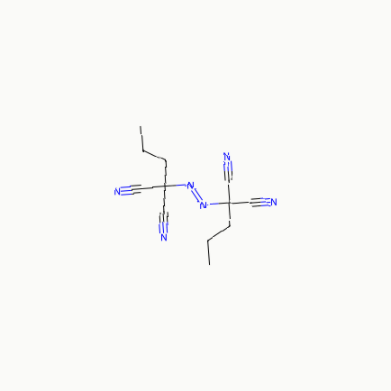 CCCC(C#N)(C#N)N=NC(C#N)(C#N)CCC